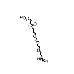 O=C(O)CCC(=O)NCCCOCCOCCOCCCNO